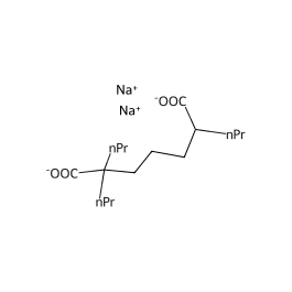 CCCC(CCCC(CCC)(CCC)C(=O)[O-])C(=O)[O-].[Na+].[Na+]